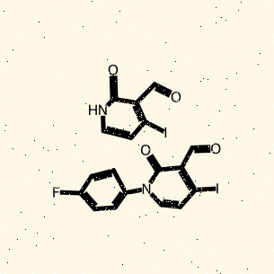 O=Cc1c(I)cc[nH]c1=O.O=Cc1c(I)ccn(-c2ccc(F)cc2)c1=O